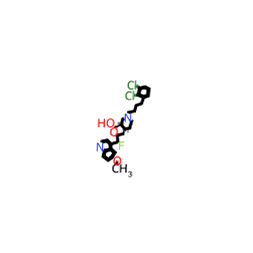 COc1ccc2nccc(C(F)CC[C@@H]3CCN(CCCCc4cccc(Cl)c4Cl)C[C@@H]3C(=O)O)c2c1